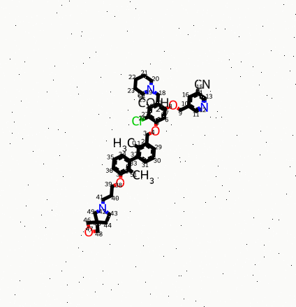 Cc1c(COc2cc(OCc3cncc(C#N)c3)c(CN3CCCC[C@H]3C(=O)O)cc2Cl)cccc1-c1cccc(OCCCN2CCC3(COC3)C2)c1C